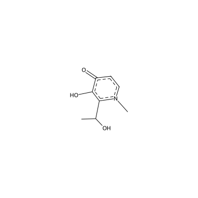 CC(O)c1c(O)c(=O)ccn1C